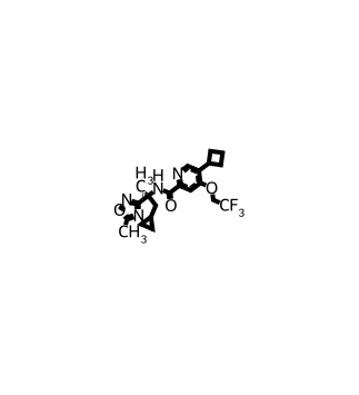 Cc1nc([C@](C)(CC2CC2)NC(=O)c2cc(OCC(F)(F)F)c(C3CCC3)cn2)no1